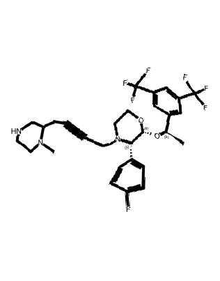 C[C@@H](O[C@H]1OCCN(CC#CCC2CNCCN2C)[C@H]1c1ccc(F)cc1)c1cc(C(F)(F)F)cc(C(F)(F)F)c1